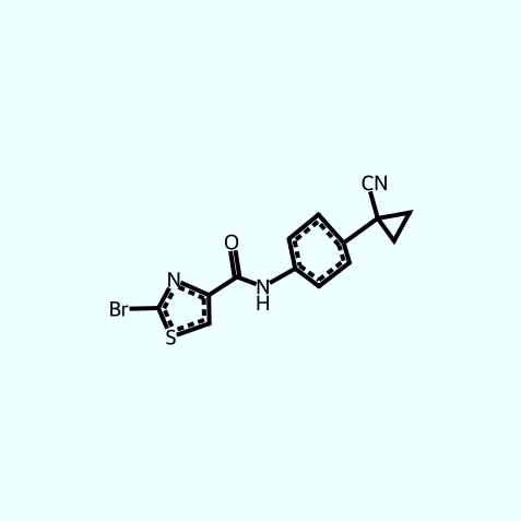 N#CC1(c2ccc(NC(=O)c3csc(Br)n3)cc2)CC1